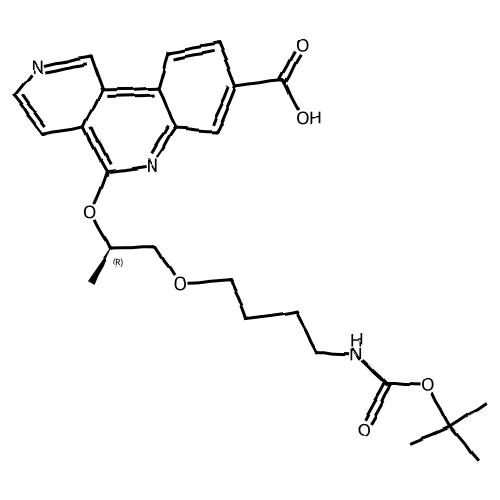 C[C@H](COCCCCNC(=O)OC(C)(C)C)Oc1nc2cc(C(=O)O)ccc2c2cnccc12